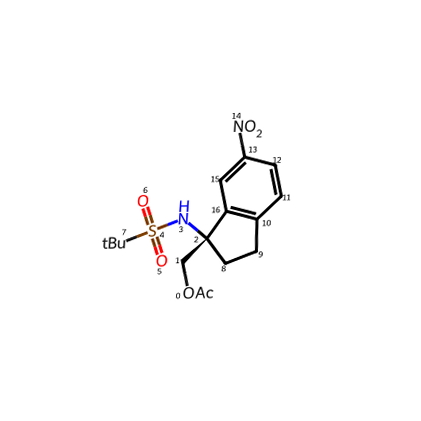 CC(=O)OC[C@]1(NS(=O)(=O)C(C)(C)C)CCc2ccc([N+](=O)[O-])cc21